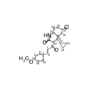 COc1ccc(/C=C/C(=O)c2c(C3CC3)c3cc(Cl)ccc3[nH]c2=O)cc1